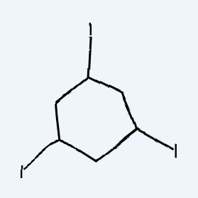 IC1CC(I)CC(I)C1